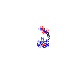 CNC(=O)c1nnc(NCCCN2CCC(CC3CN(c4ccc5c(c4)C(=O)N(C4CCC(=O)NC4=O)C5=O)C3)CC2)cc1Nc1cccc(-c2ncn(C)n2)c1OC